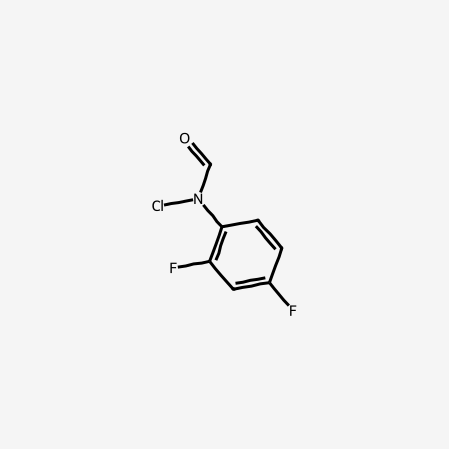 O=CN(Cl)c1ccc(F)cc1F